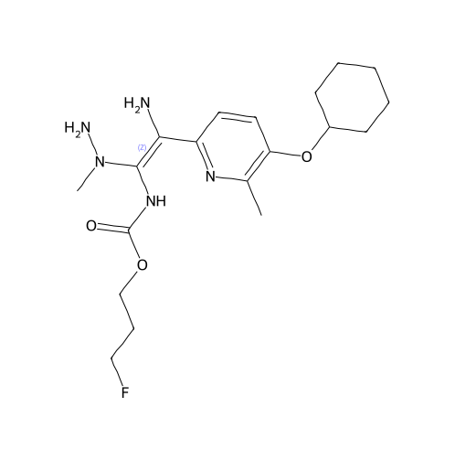 Cc1nc(/C(N)=C(\NC(=O)OCCCF)N(C)N)ccc1OC1CCCCC1